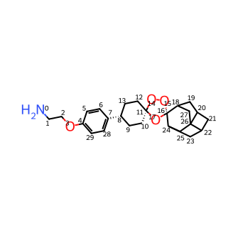 NCCOc1ccc([C@H]2CC[C@]3(CC2)OO[C@]2(O3)C3CC4CC5CC2CC45C3)cc1